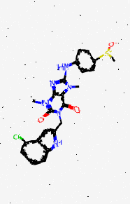 Cn1c(Nc2ccc([S+](C)[O-])cc2)nc2c1c(=O)n(Cc1cc3c(Cl)cccc3[nH]1)c(=O)n2C